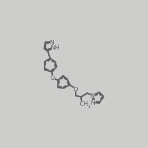 CC(COc1ccc(Oc2ccc(-c3ccn[nH]3)cc2)cc1)Cn1cccn1